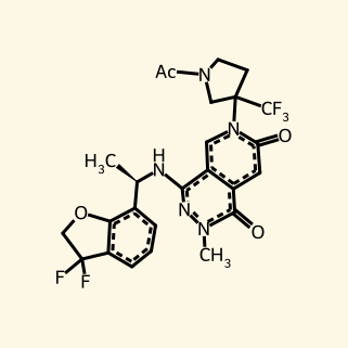 CC(=O)N1CCC(n2cc3c(N[C@H](C)c4cccc5c4OCC5(F)F)nn(C)c(=O)c3cc2=O)(C(F)(F)F)C1